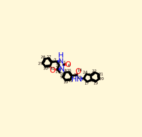 CC12CC(NC(=O)N1c1cccc(C(=O)NC3Cc4ccccc4C3)c1)c1ccccc1O2